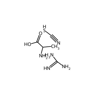 CC(N)C(=O)O.N#CS.N=C(N)N